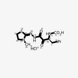 CC(C)C[C@H](NC(=O)O)C(=O)C(=O)NN=C1SCCN1C.Cl